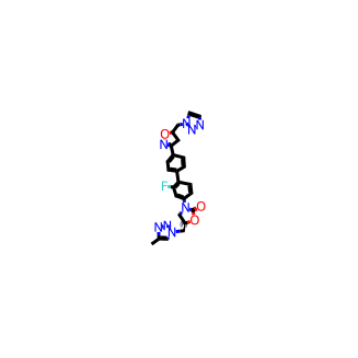 Cc1cn(C[C@H]2CN(c3ccc(-c4ccc(C5=NOC(Cn6ccnn6)C5)cc4)c(F)c3)C(=O)O2)nn1